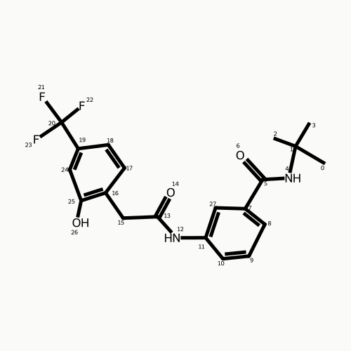 CC(C)(C)NC(=O)c1cccc(NC(=O)Cc2ccc(C(F)(F)F)cc2O)c1